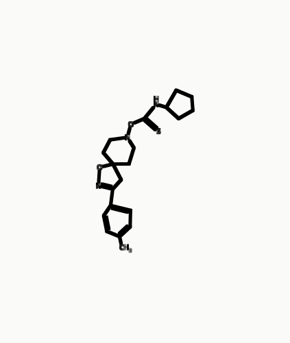 Cc1ccc(C2=NOC3(CCN(OC(=S)NC4CCCC4)CC3)C2)cc1